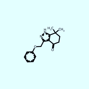 CC1(C)CCC(=O)c2c(COc3ccccc3)n[nH]c21